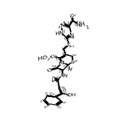 NC(=O)c1n[nH]c(SCC2=C(C(=O)O)N3C(=O)C(NC(=O)C(O)c4ccccc4)[C@@H]3SC2)n1